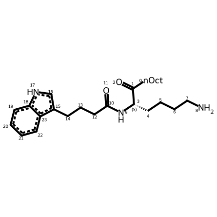 CCCCCCCCC(=O)[C@H](CCCCN)NC(=O)CCCc1c[nH]c2ccccc12